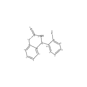 O=C1Cc2ccccc2C(c2ccccc2F)N1